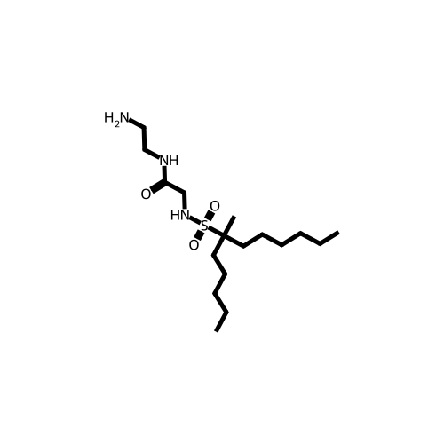 CCCCCCC(C)(CCCCC)S(=O)(=O)NCC(=O)NCCN